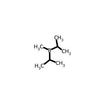 CB(C(C)C)C(C)C